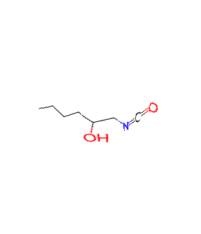 CCCCC(O)CN=C=O